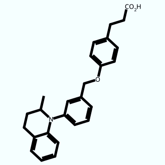 CC1CCc2ccccc2N1c1cccc(COc2ccc(CCC(=O)O)cc2)c1